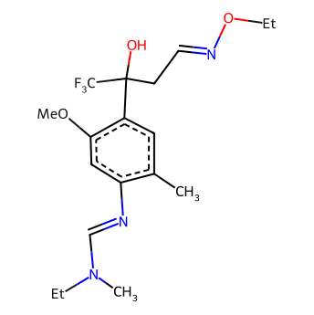 CCO/N=C/CC(O)(c1cc(C)c(N=CN(C)CC)cc1OC)C(F)(F)F